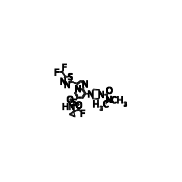 CN(C)C(=O)N1CCN(c2cc(S(=O)(=O)NC3(CF)CC3)cn3c(-c4nnc(C(F)F)s4)cnc23)CC1